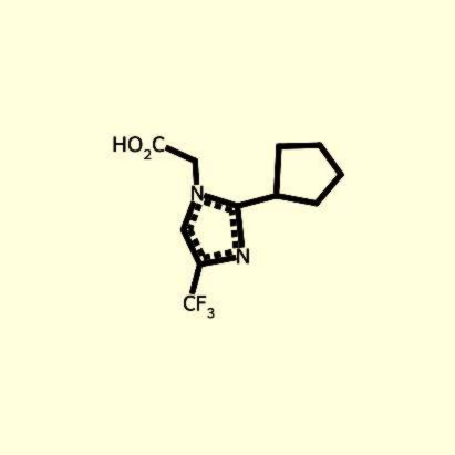 O=C(O)Cn1cc(C(F)(F)F)nc1C1CCCC1